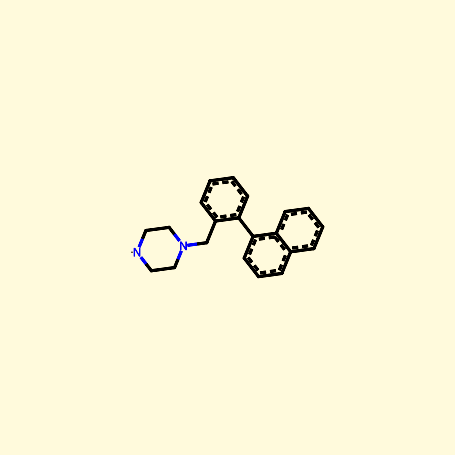 c1ccc(-c2cccc3ccccc23)c(CN2CC[N]CC2)c1